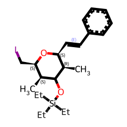 CC[Si](CC)(CC)OC1[C@@H](C)[C@@H](CI)O[C@@H](/C=C/c2ccccc2)[C@H]1C